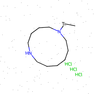 Cl.Cl.Cl.[CH3][Ti][N]1CCCCCCNCCCC1